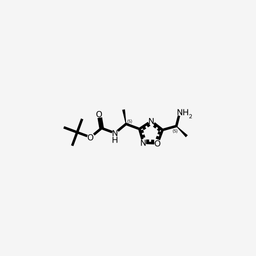 C[C@H](N)c1nc([C@H](C)NC(=O)OC(C)(C)C)no1